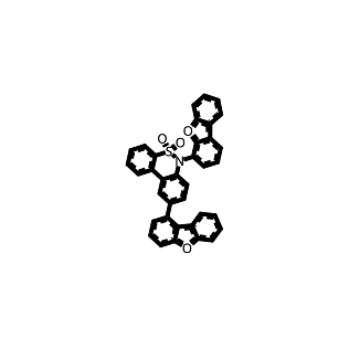 O=S1(=O)c2ccccc2-c2cc(-c3cccc4oc5ccccc5c34)ccc2N1c1cccc2c1oc1ccccc12